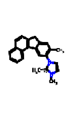 Cc1cc2c(cc1N1C=CN(C)[C@@H]1C)-c1c(ccc3ccccc13)C2